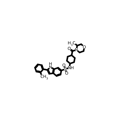 Cc1ccccc1-c1cc2ccc(S(=O)(=O)NC3CCC(C(=O)N4CCOCC4C)CC3)cc2[nH]1